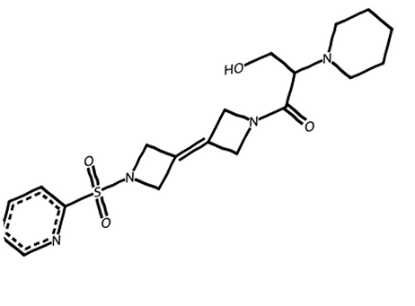 O=C(C(CO)N1CCCCC1)N1CC(=C2CN(S(=O)(=O)c3ccccn3)C2)C1